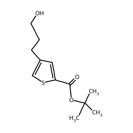 CC(C)(C)OC(=O)c1cc(CCCO)cs1